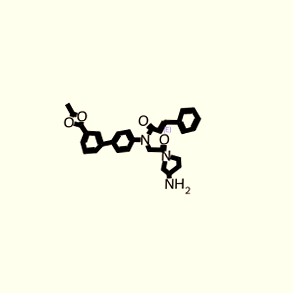 CC1OC(c2cccc(-c3ccc(N(CC(=O)N4CCC(N)C4)C(=O)/C=C/c4ccccc4)cc3)c2)O1